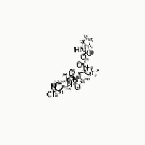 CC1(C)CN(C(=O)COC(=O)NC2CCCC2)c2cc(N3C(=O)N(Cc4ccnc(Cl)c4)C(C)(C)C3=O)ccc21